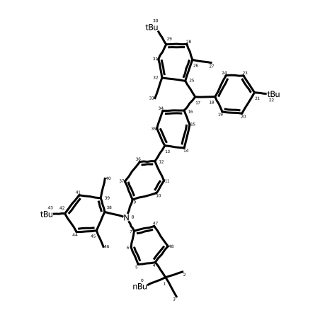 CCCCC(C)(C)c1ccc(N(c2ccc(-c3ccc(C(c4ccc(C(C)(C)C)cc4)c4c(C)cc(C(C)(C)C)cc4C)cc3)cc2)c2c(C)cc(C(C)(C)C)cc2C)cc1